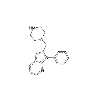 c1ccc(-n2c(CN3CCNCC3)cc3cccnc32)cc1